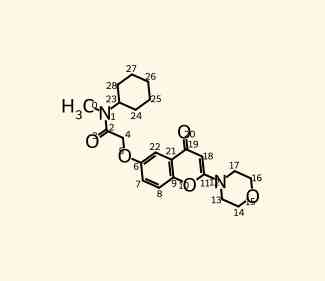 CN(C(=O)COc1ccc2oc(N3CCOCC3)cc(=O)c2c1)C1CCCCC1